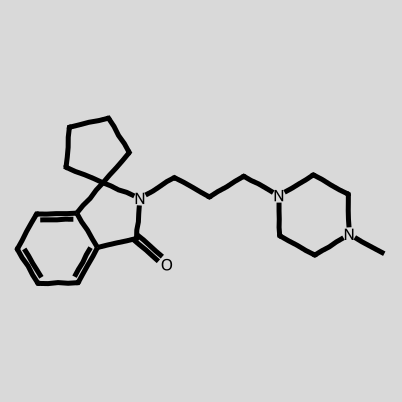 CN1CCN(CCCN2C(=O)c3ccccc3C23CCCC3)CC1